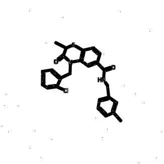 Cc1cccc(CNC(=O)c2ccc3c(c2)N(Cc2ccccc2Cl)C(=O)C(C)S3)c1